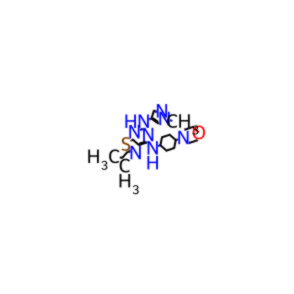 CC(C)c1nc2c(NC3CCC(N4CCOCC4)CC3)nc(Nc3cnn(C)c3)nc2s1